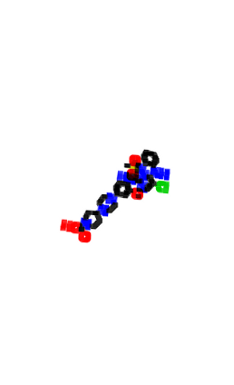 COc1cc(N2CCN(C3CCN(C(=O)O)CC3)CC2)ccc1Nc1ncc(Cl)c(Nc2ccccc2NS(C)(=O)=O)n1